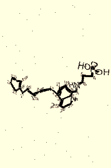 O=P(O)(O)CCCNCc1ccc(C#CCCCc2ccccc2)c2cccnc12